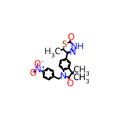 CC1SC(=O)NN=C1c1ccc2c(c1)C(C)(C)C(=O)N2Cc1ccc([N+](=O)[O-])cc1